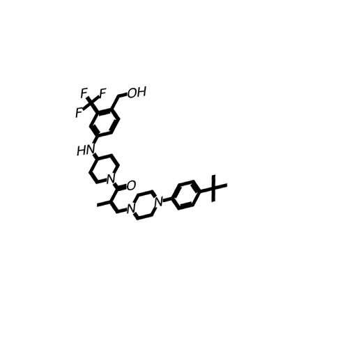 CC(CN1CCN(c2ccc(C(C)(C)C)cc2)CC1)C(=O)N1CCC(Nc2ccc(CO)c(C(F)(F)F)c2)CC1